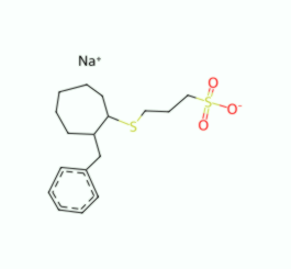 O=S(=O)([O-])CCCSC1CCCCCC1Cc1ccccc1.[Na+]